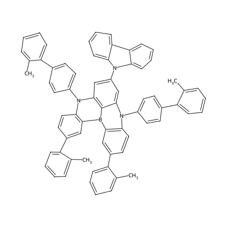 Cc1ccccc1-c1ccc(N2c3ccc(-c4ccccc4C)cc3B3c4cc(-c5ccccc5C)ccc4N(c4ccc(-c5ccccc5C)cc4)c4cc(-n5c6ccccc6c6ccccc65)cc2c43)cc1